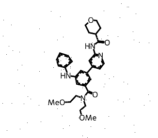 COCCN(CCOC)C(=O)c1cc(Nc2ccccc2)cc(-c2ccnc(NC(=O)C3CCOCC3)c2)c1